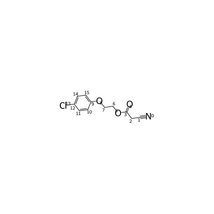 N#CCC(=O)OCCOc1ccc(Cl)cc1